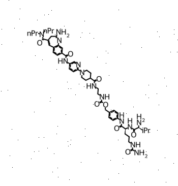 CCCN(CCC)C(=O)C1=Cc2ccc(C(=O)Nc3ccc(N4CCC(C(=O)NCCNC(=O)OCc5ccc(NC(=O)[C@H](CCCNC(N)=O)NC(=O)[C@@H](N)C(C)C)cc5)CC4)nc3)cc2N=C(N)C1